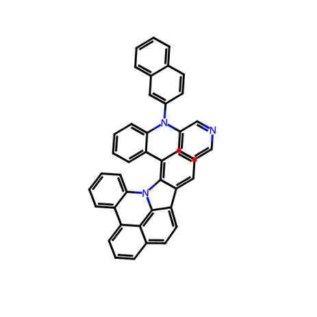 c1cncc(N(c2ccc3ccccc3c2)c2ccccc2-c2cccc3c4ccc5cccc6c7ccccc7n(c23)c4c56)c1